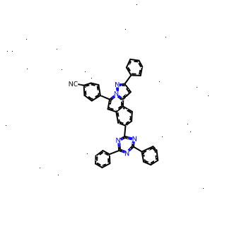 N#Cc1ccc(-c2cc3cc(-c4nc(-c5ccccc5)nc(-c5ccccc5)n4)ccc3c3cc(-c4ccccc4)nn23)cc1